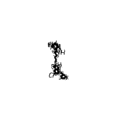 COc1ccnc(NCCCCCNC(=O)c2cc(Cl)cn(Cc3cccc(F)c3)c2=O)n1